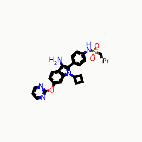 CC(C)CS(=O)(=O)Nc1ccc(-c2c(N)c3ccc(Oc4ncccn4)cc3n2C2CCC2)cc1